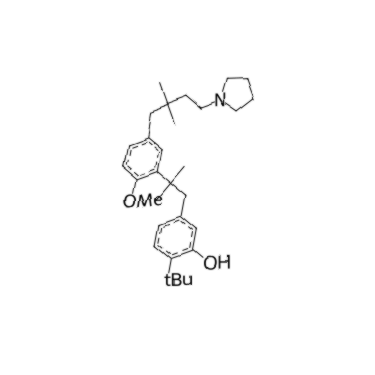 COc1ccc(CC(C)(C)CCN2CCCC2)cc1C(C)(C)Cc1ccc(C(C)(C)C)c(O)c1